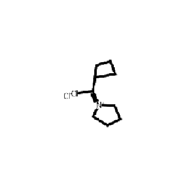 ClC(C1CCC1)=[N+]1CCCC1.[Cl-]